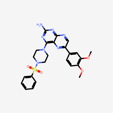 COc1ccc(-c2cnc3nc(N)nc(N4CCN(S(=O)(=O)c5ccccc5)CC4)c3n2)cc1OC